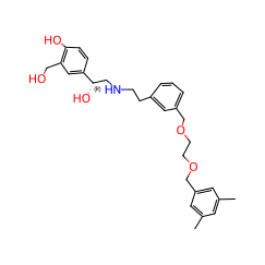 Cc1cc(C)cc(COCCOCc2cccc(CCNC[C@H](O)c3ccc(O)c(CO)c3)c2)c1